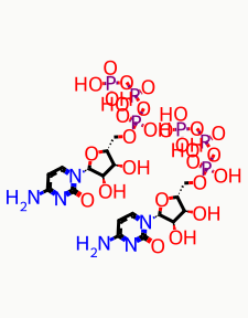 Nc1ccn([C@@H]2O[C@H](COP(=O)(O)OP(=O)(O)OP(=O)(O)O)[C@@H](O)[C@H]2O)c(=O)n1.Nc1ccn([C@@H]2O[C@H](COP(=O)(O)OP(=O)(O)OP(=O)(O)O)[C@@H](O)[C@H]2O)c(=O)n1